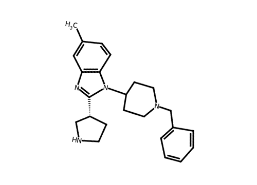 Cc1ccc2c(c1)nc([C@@H]1CCNC1)n2C1CCN(Cc2ccccc2)CC1